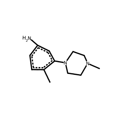 Cc1ccc(N)cc1N1CCN(C)CC1